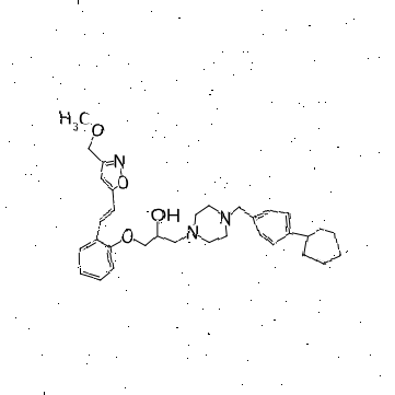 COCc1cc(/C=C/c2ccccc2OCC(O)CN2CCN(Cc3ccc(C4CCCCC4)cc3)CC2)on1